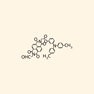 Cc1ccc(N(c2ccc(C)cc2)c2cccc(OC(=O)CN3C(=O)c4ccc5c6c(ccc(c46)C3=O)C(=O)N(CC=O)C5=O)c2)cc1